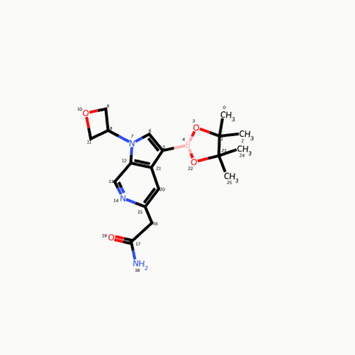 CC1(C)OB(c2cn(C3COC3)c3cnc(CC(N)=O)cc23)OC1(C)C